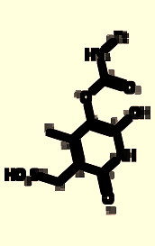 CCNC(=O)Oc1c(O)[nH]c(=O)c(CS(=O)(=O)O)c1C